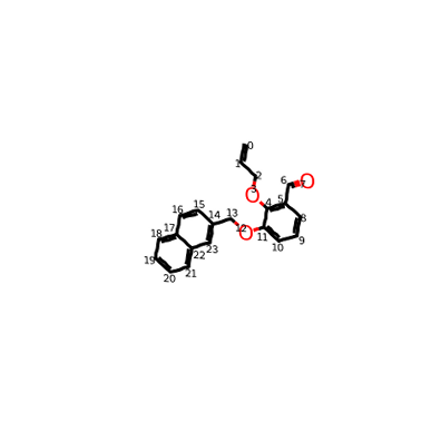 C=CCOc1c(C=O)cccc1OCc1ccc2ccccc2c1